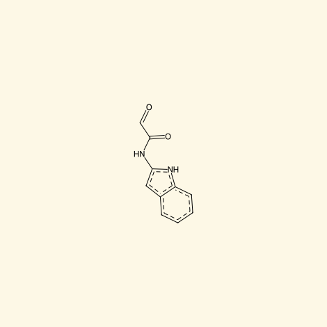 O=CC(=O)Nc1cc2ccccc2[nH]1